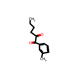 CCCCC(=O)C(=O)c1cccc(C)c1